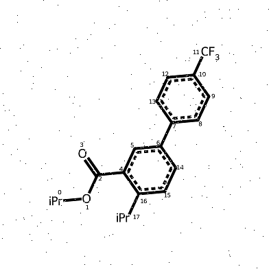 CC(C)OC(=O)c1cc(-c2ccc(C(F)(F)F)cc2)ccc1C(C)C